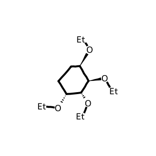 CCO[C@H]1[C@H](OCC)[C@H](OCC)CC[C@H]1OCC